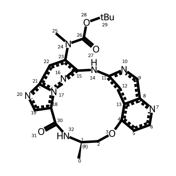 C[C@@H]1COc2ccnc3cnc(cc23)Nc2nn3c(cnc3cc2N(C)C(=O)OC(C)(C)C)C(=O)N1